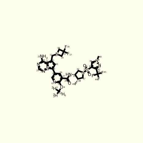 [2H]C([2H])([2H])Oc1ncc(-c2cc(CN3CC(F)(F)C3)c3c(N)ncnn23)cc1C(=O)N[C@@H]1CN(S(=O)(=O)c2cn(C)nc2C(F)(F)F)C[C@@H]1F